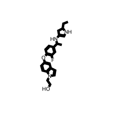 CCC1CC(NC(C)c2ccc(Oc3ccc4c(ccn4CCO)c3)c(F)c2)=CN1